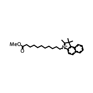 COC(=O)CCCCCCCCCC[N+]1=C(C)C(C)(C)c2c1ccc1ccccc21